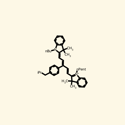 CCCCC[N+]1=C(/C=C/C(=C/C=C2/N(CCCC)c3ccccc3C2(C)C)c2ccc(CC(C)C)cc2)C(C)(C)c2ccccc21